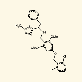 COc1cc(OCc2c(F)cccc2Cl)cc(OC)c1CNC(Cc1ccccc1)c1ncc(C)s1